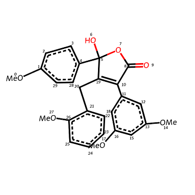 COc1ccc(C2(O)OC(=O)C(c3cc(OC)cc(OC)c3)=C2Cc2ccccc2OC)cc1